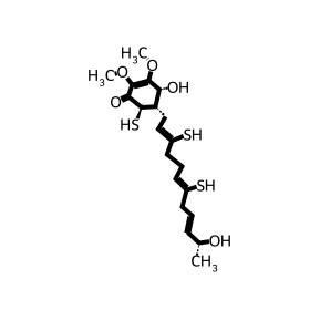 COC1=C(OC)[C@H](O)[C@H](C/C=C(\S)CC/C=C(\S)C/C=C/[C@@H](C)O)[C@@H](S)C1=O